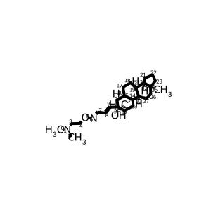 CN(C)CCON=CC=C[C@]1(O)CC[C@@]2(C)[C@H](CC[C@H]3[C@@H]4CCC[C@@]4(C)CC[C@@H]32)C1